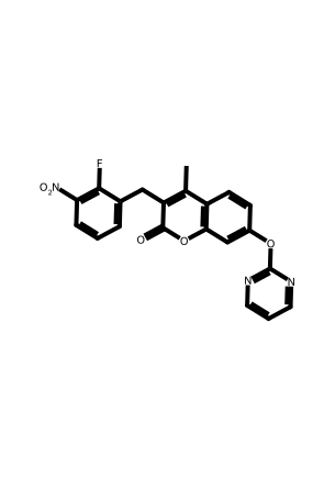 Cc1c(Cc2cccc([N+](=O)[O-])c2F)c(=O)oc2cc(Oc3ncccn3)ccc12